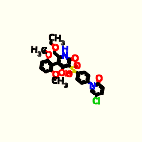 CCOCc1[nH]c(=O)c(S(=O)(=O)c2ccc(-n3cc(Cl)ccc3=O)cc2)c(O)c1-c1c(OC)cccc1OC